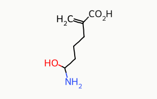 C=C(CCCC(N)O)C(=O)O